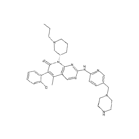 CCCN1CCC[C@H](n2c(=O)c(-c3ccccc3Cl)c(C)c3cnc(Nc4ccc(CN5CCNCC5)cn4)nc32)C1